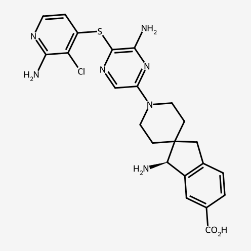 Nc1nc(N2CCC3(CC2)Cc2ccc(C(=O)O)cc2[C@H]3N)cnc1Sc1ccnc(N)c1Cl